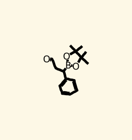 CC1(C)OB(C(CC=O)c2ccccc2)OC1(C)C